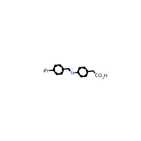 CC(C)c1ccc(/C=N/c2ccc(CC(=O)O)cc2)cc1